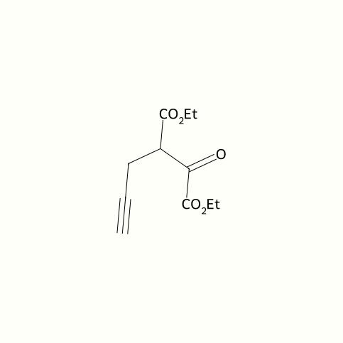 C#CCC(C(=O)OCC)C(=O)C(=O)OCC